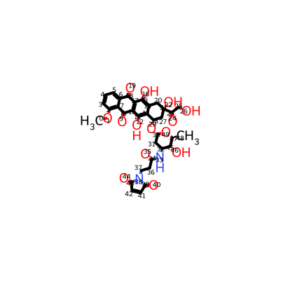 COc1cccc2c1C(=O)c1c(O)c3c(c(O)c1C2=O)C[C@](O)(C(=O)CO)C[C@@H]3O[C@@H]1C[C@H](NC(=O)CCN2C(=O)C=CC2=O)[C@H](O)[C@H](C)O1